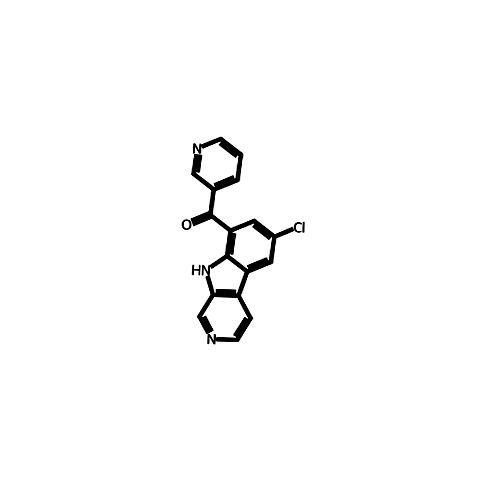 O=C(c1cccnc1)c1cc(Cl)cc2c1[nH]c1cnccc12